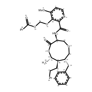 COc1ccnc(C(=O)N[C@H]2COC[C@H](Cc3ccccc3)[C@@H](CCC(C)C)[C@H](C)OC2=O)c1OCOC(=O)C(C)C